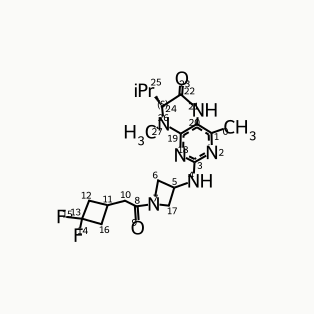 Cc1nc(NC2CN(C(=O)CC3CC(F)(F)C3)C2)nc2c1NC(=O)[C@H](C(C)C)N2C